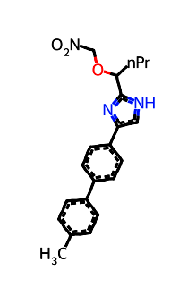 CCCC(OC[N+](=O)[O-])c1nc(-c2ccc(-c3ccc(C)cc3)cc2)c[nH]1